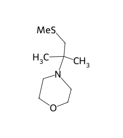 CSCC(C)(C)N1CCOCC1